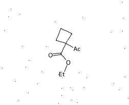 CCOC(=O)C1(C(C)=O)CCC1